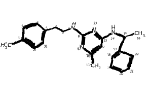 Cc1ccc(CCNc2nc(C)cc(N[C@@H](C)c3ccccc3)n2)cc1